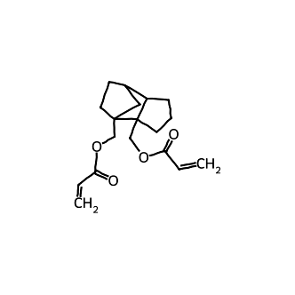 C=CC(=O)OCC12CCC(C1)C1CCCC12COC(=O)C=C